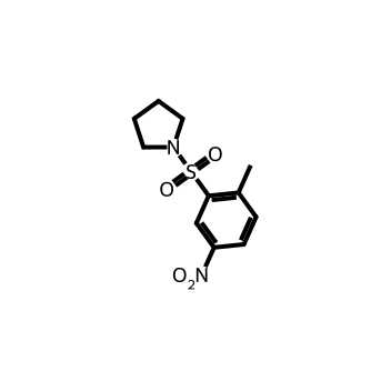 Cc1ccc([N+](=O)[O-])cc1S(=O)(=O)N1CCCC1